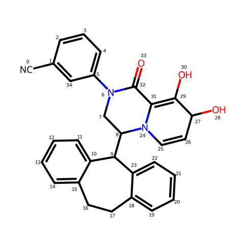 N#Cc1cccc(N2CC(C3c4ccccc4CCc4ccccc43)N3C=CC(O)C(O)=C3C2=O)c1